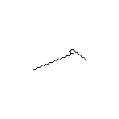 CCCCCCCCCCCCCCCCCCc1ccc[n+](CCCCCC)c1